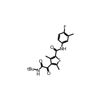 Cc1cc(NC(=O)c2sc(C)c(C(=O)C(=O)NC(C)(C)C)c2C)ccc1F